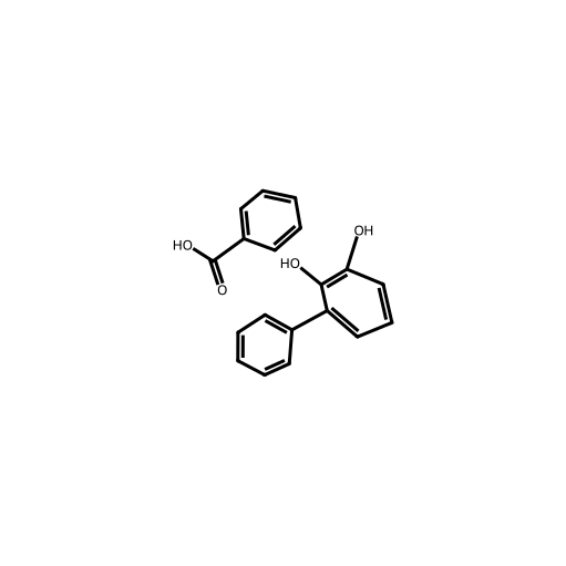 O=C(O)c1ccccc1.Oc1cccc(-c2ccccc2)c1O